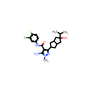 CC(C)C1(O)CC2CC(c3nn(C)c(N)c3C(=O)Nc3ccc(F)c(Cl)c3)CC2C1